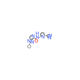 Cn1cc(-c2cccc(CNC(=O)c3nccc4nc(C5CCCC5)n(C)c34)n2)cn1